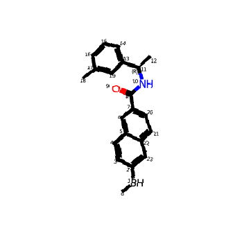 CBc1ccc2cc(C(=O)N[C@H](C)c3cccc(C)c3)ccc2c1